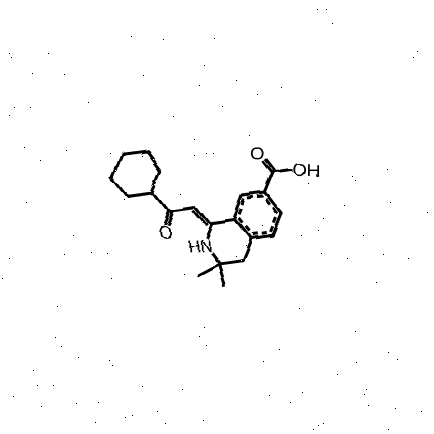 CC1(C)Cc2ccc(C(=O)O)cc2C(=CC(=O)C2CCCCC2)N1